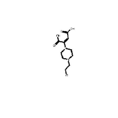 O=C(O)/C=C(\C(=O)O)N1CCN(CCCl)CC1